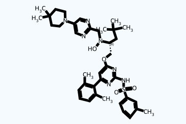 Cc1cccc(S(=O)(=O)Nc2nc(OC[C@@H](CC(C)(C)C)N(O)Cc3ncc(N4CCC(C)(C)CC4)cn3)cc(-c3c(C)cccc3C)n2)c1